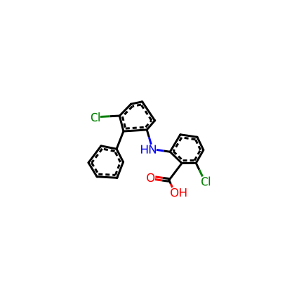 O=C(O)c1c(Cl)cccc1Nc1cccc(Cl)c1-c1ccccc1